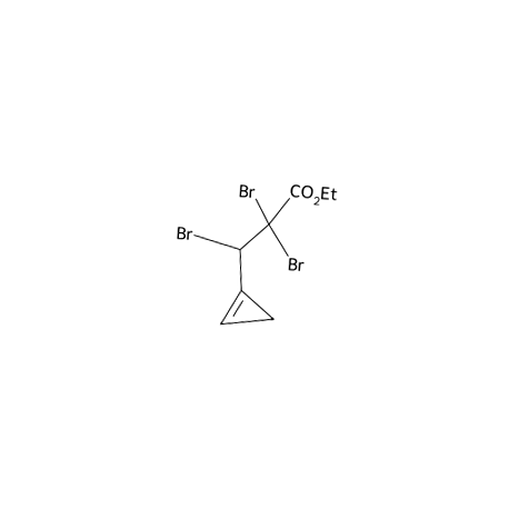 CCOC(=O)C(Br)(Br)C(Br)C1=CC1